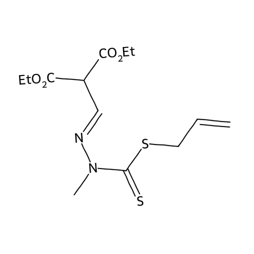 C=CCSC(=S)N(C)N=CC(C(=O)OCC)C(=O)OCC